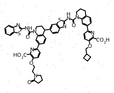 O=C(O)c1nc(-c2ccc3c(c2)N(C(=O)Nc2nc4ccccc4s2)CCC3c2ccc3nc(NC(=O)N4CCCc5ccc(-c6ccc(OCC7CCC7)c(C(=O)O)n6)cc54)sc3c2)ccc1OCCN1CCCC1=O